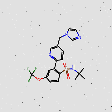 CC(C)(C)NS(=O)(=O)c1ccc(OC(F)(F)F)cc1-c1ccc(Cn2ccnc2)cn1